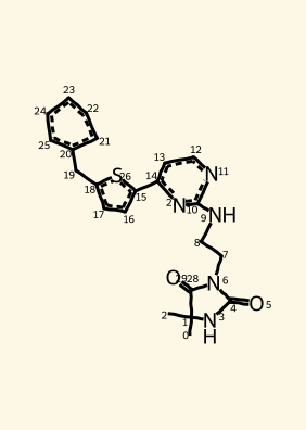 CC1(C)NC(=O)N(CCNc2nccc(-c3ccc(Cc4ccccc4)s3)n2)C1=O